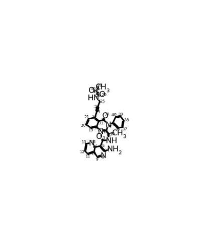 C[C@@H](NC(=O)c1c(N)ncc2cccnc12)c1nc2cccc(C#CCNS(C)(=O)=O)c2c(=O)n1-c1ccccc1